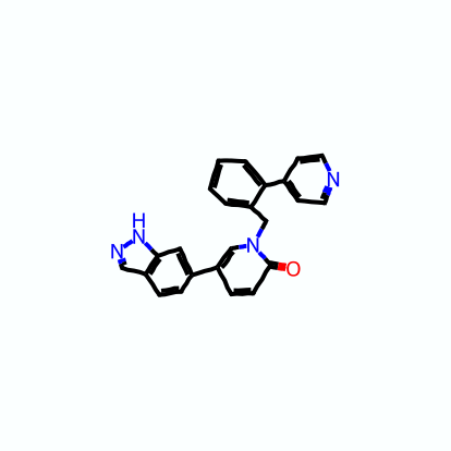 O=c1ccc(-c2ccc3cn[nH]c3c2)cn1Cc1ccccc1-c1ccncc1